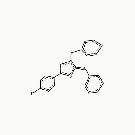 Fc1ccc(-c2cn(Cc3ccccc3)c(=Nc3ccccc3)s2)cc1